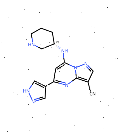 N#Cc1cnn2c(N[C@H]3CCCNC3)cc(-c3cn[nH]c3)nc12